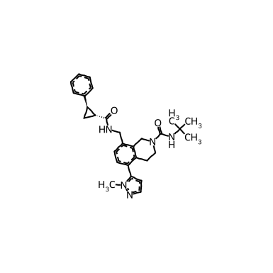 Cn1nccc1-c1ccc(CNC(=O)[C@@H]2C[C@H]2c2ccccc2)c2c1CCN(C(=O)NC(C)(C)C)C2